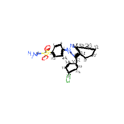 NS(=O)(=O)c1ccc(-n2nc3c(c2-c2ccc(Cl)cc2)CCCC3)cc1